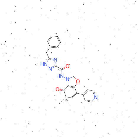 C[C@H]1C=C(c2ccncc2)C2=C(C1=O)N(NC(=O)c1n[nH]c(Cc3ccccc3)n1)CO2